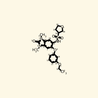 Cn1c(=O)n(C)c2cc(Oc3cccc(OCC(F)(F)F)c3)c(NS(=O)(=O)C3CCOC3)cc21